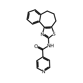 O=C(Nc1nc2c(s1)CCCc1ccccc1-2)c1ccncc1